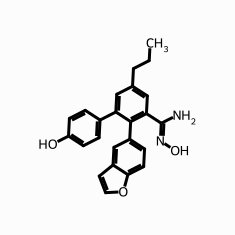 CCCc1cc(C(N)=NO)c(-c2ccc3occc3c2)c(-c2ccc(O)cc2)c1